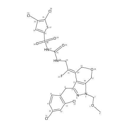 COCn1nc(Cc2ccc(Cl)cc2Cl)c2c1COC/C2=C(/F)CNC(=O)NS(=O)(=O)c1cc(Cl)c(Cl)s1